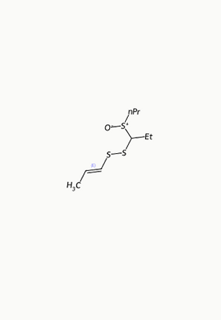 C/C=C/SSC(CC)[S+]([O-])CCC